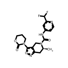 C[C@H]1Cc2noc(N3CCCOC3=O)c2CN1C(=O)Nc1ccnc(C(F)F)c1